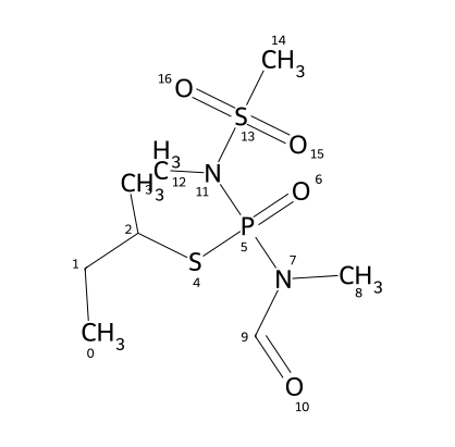 CCC(C)SP(=O)(N(C)C=O)N(C)S(C)(=O)=O